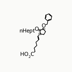 CCCCCCCO[C@@H]1[C@H](C=CCCCCC(=O)O)CC[C@H]1OCc1ccccc1